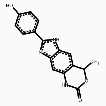 CC1OC(=O)Nc2cc3nc(-c4ccc(O)cc4)[nH]c3cc21